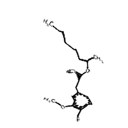 CCCCCC(C)OC(=O)c1ccc(F)c(OC)c1